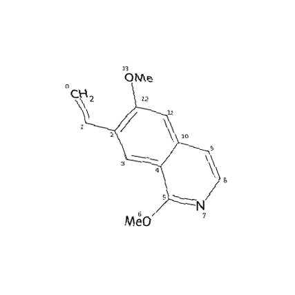 C=Cc1cc2c(OC)nccc2cc1OC